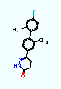 Cc1cc(F)ccc1-c1ccc(C2=NNC(=O)CC2)cc1C